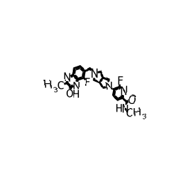 CNC(=O)c1ccc(N2CC3CN(Cc4ccc5nc(C)c(=O)[nH]c5c4F)CC3C2)c(F)n1